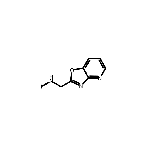 INCc1nc2ncccc2o1